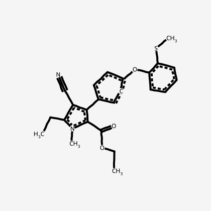 CCOC(=O)c1c(-c2ccc(Oc3ccccc3SC)cc2)c(C#N)c(CC)n1C